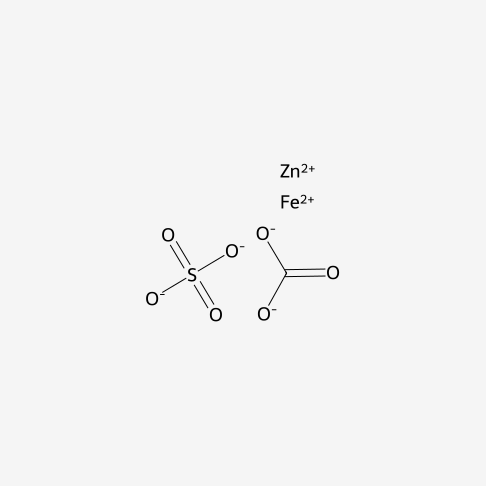 O=C([O-])[O-].O=S(=O)([O-])[O-].[Fe+2].[Zn+2]